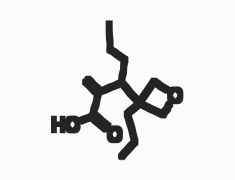 C=C(C(=O)O)C(CCC)C1(CCC)COC1